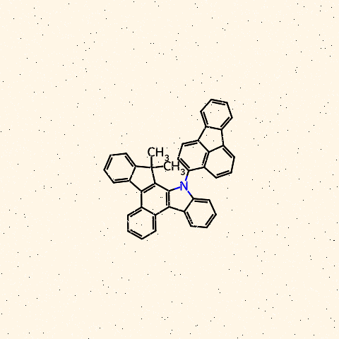 CC1(C)c2ccccc2-c2c1c1c(c3ccccc23)c2ccccc2n1-c1ccc2c3c(cccc13)-c1ccccc1-2